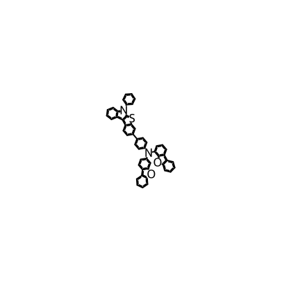 c1ccc(-n2c3ccccc3c3c4ccc(-c5ccc(N(c6ccc7c(c6)oc6ccccc67)c6cccc7c6oc6ccccc67)cc5)cc4sc32)cc1